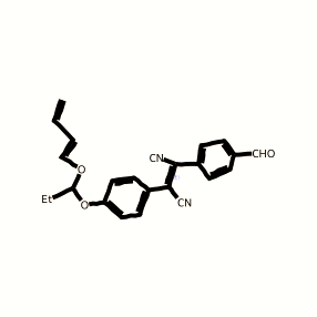 [C-]#[N+]/C(=C(/C#N)c1ccc(OC(CC)OC=CC=C)cc1)c1ccc(C=O)cc1